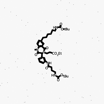 CCOC(=O)CCN1C(=O)c2cc(CCCCCCNC(=O)OC(C)(C)C)ccc2N(C)C(=O)C1c1cccc(NC(=O)CCCNC(=O)OC(C)(C)C)c1